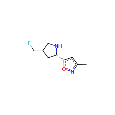 Cc1cc([C@@H]2C[C@H](CF)CN2)on1